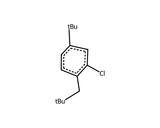 CC(C)(C)Cc1ccc(C(C)(C)C)cc1Cl